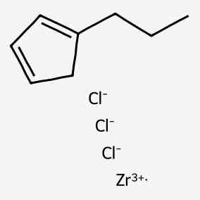 CCCC1=CC=CC1.[Cl-].[Cl-].[Cl-].[Zr+3]